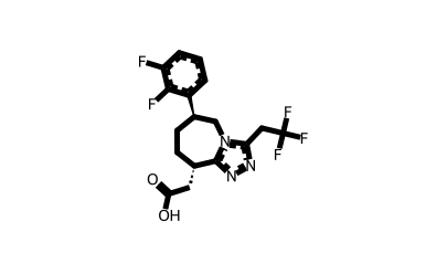 O=C(O)C[C@@H]1CC[C@@H](c2cccc(F)c2F)Cn2c(CC(F)(F)F)nnc21